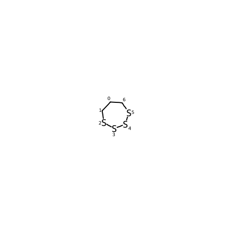 C1CSSSSC1